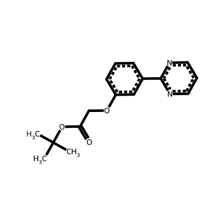 CC(C)(C)OC(=O)COc1cccc(-c2n[c]ccn2)c1